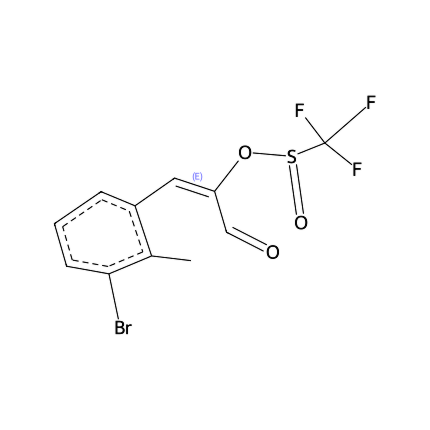 Cc1c(Br)cccc1/C=C(\C=O)OS(=O)C(F)(F)F